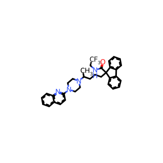 CC(CCCC1(C(=O)NCC(F)(F)F)c2ccccc2-c2ccccc21)N1CCN(c2ccc3ccccc3n2)CC1